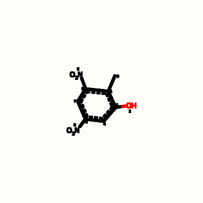 Cc1c(O)cc([N+](=O)[O-])cc1[N+](=O)[O-]